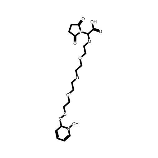 O=C(O)C(OCCOCCOCCOCCSSC1C=CC=CN1O)N1C(=O)CCC1=O